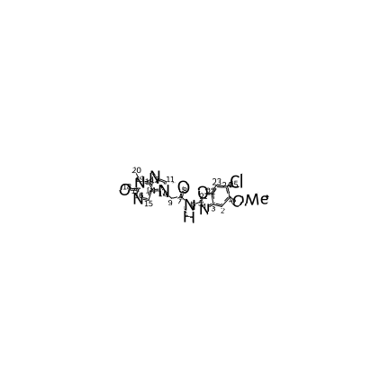 COc1cc2nc(NC(=O)Cn3cnc4c3cnc(=O)n4C)oc2cc1Cl